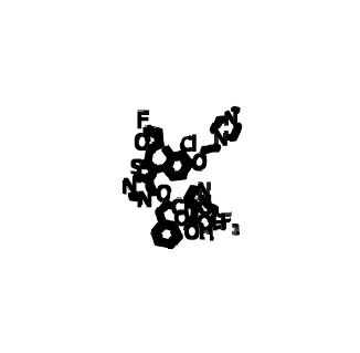 Cc1c(-c2c(-c3ccc(F)o3)sc3ncnc(OC(C=O)Cc4ccccc4OC(O)(O)c4ccnn4CC(F)(F)F)c23)ccc(OCCN2CCN(C)CC2)c1Cl